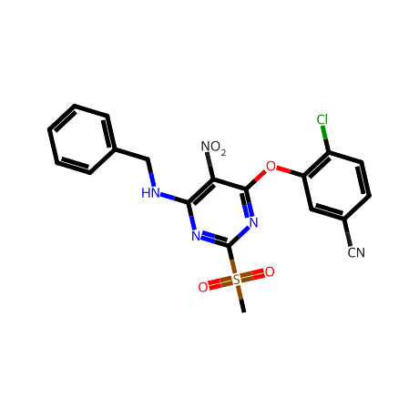 CS(=O)(=O)c1nc(NCc2ccccc2)c([N+](=O)[O-])c(Oc2cc(C#N)ccc2Cl)n1